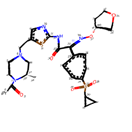 CC(C)C(=O)N1CCN(Cc2cnc(NC(=O)/C(=N/O[C@@H]3CCOC3)c3ccc(S(=O)(=O)C4CC4)cc3)s2)C[C@@H]1C